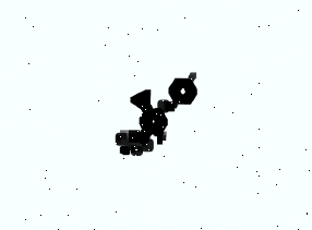 CS(=O)(=O)NC(=O)c1cc(C2CC2)c(OC[C@H]2CC[C@@H](C)CC2)cc1F